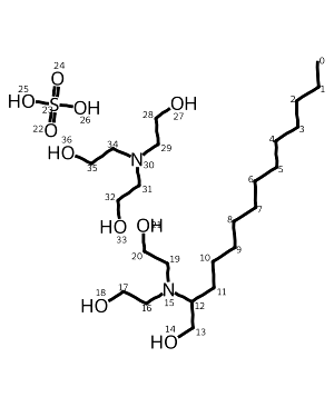 CCCCCCCCCCCCC(CO)N(CCO)CCO.O=S(=O)(O)O.OCCN(CCO)CCO